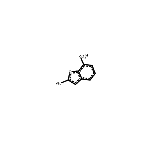 CC(C)(C)c1cc2cccc(C(=O)O)c2o1